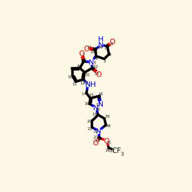 O=C1CCC(N2C(=O)c3cccc(NCc4cnn(C5CCN(C(=O)OCC(F)(F)F)CC5)c4)c3C2=O)C(=O)N1